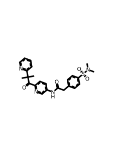 CN(C)S(=O)(=O)c1ccc(CC(=O)Nc2ccc(C(=O)C(C)(C)c3ccccn3)nc2)cc1